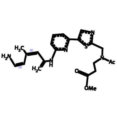 C=C(/C=C(C)\C=C/N)Nc1cccc(-c2cnc(CN(CCC(=O)OC)C(C)=O)s2)n1